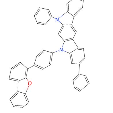 c1ccc(-c2ccc3c4cc5c6ccccc6n(-c6ccccc6)c5cc4n(-c4ccc(-c5cccc6c5oc5ccccc56)cc4)c3c2)cc1